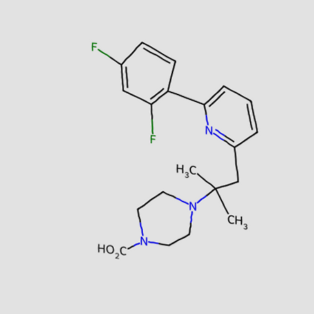 CC(C)(Cc1cccc(-c2ccc(F)cc2F)n1)N1CCN(C(=O)O)CC1